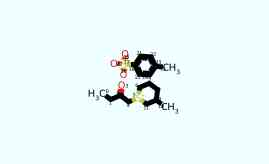 CCC(=O)C[S+]1CCCC(C)C1.Cc1ccc(S(=O)(=O)[O-])cc1